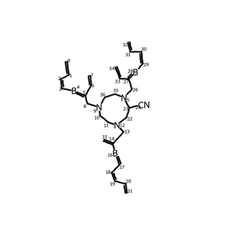 C=C/C=C\B=C(/C=C)CN1CCN(CC(=C)/B=C\C=C/C=C)CC(C#N)N(C/C(=B/C=C\C=C)C=C)CC1